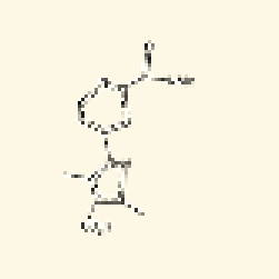 CNC(=O)c1cc(-n2nc(C)c(C(=O)O)c2C)ccn1